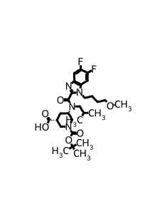 COCCCCn1c(C(=O)N(CC(C)C)[C@H]2C[C@@H](C(=O)O)CN(C(=O)OC(C)(C)C)C2)nc2cc(F)c(F)cc21